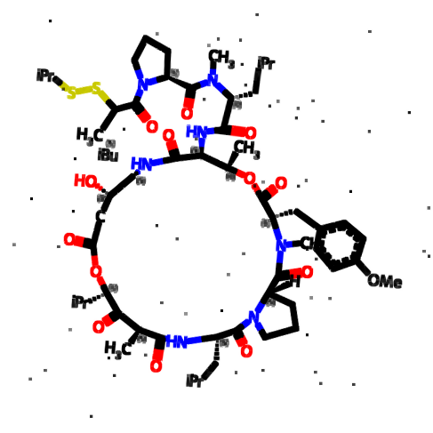 CC[C@H](C)[C@@H]1NC(=O)[C@@H](NC(=O)[C@@H](CC(C)C)N(C)C(=O)[C@@H]2CCCN2C(=O)C(C)SSC(C)C)[C@@H](C)OC(=O)[C@H](Cc2ccc(OC)cc2)N(C)C(=O)[C@@H]2CCCN2C(=O)[C@H](CC(C)C)NC(=O)[C@@H](C)C(=O)[C@H](C(C)C)OC(=O)C[C@@H]1O